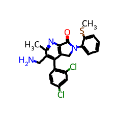 CSc1ccccc1N1Cc2c(nc(C)c(CN)c2-c2ccc(Cl)cc2Cl)C1=O